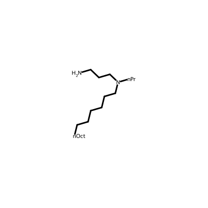 [CH2]CCN(CCCN)CCCCCCCCCCCCCC